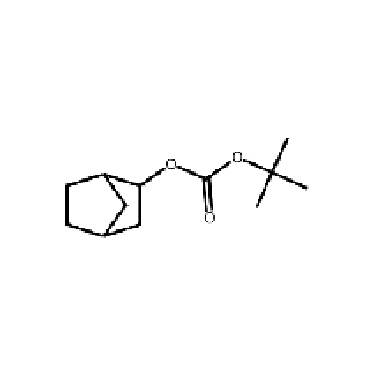 CC(C)(C)OC(=O)O[C]1CC2CCC1C2